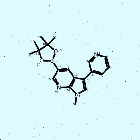 Cn1cc(-c2cccnc2)c2cc(B3OC(C)(C)C(C)(C)O3)cnc21